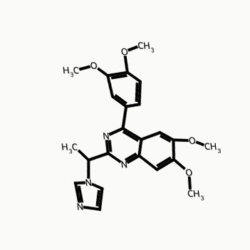 COc1ccc(-c2nc(C(C)n3ccnc3)nc3cc(OC)c(OC)cc23)cc1OC